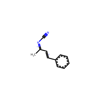 CC(/C=C/c1ccccc1)=N/C#N